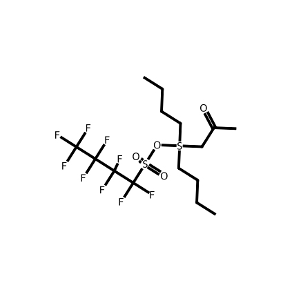 CCCCS(CCCC)(CC(C)=O)OS(=O)(=O)C(F)(F)C(F)(F)C(F)(F)C(F)(F)F